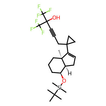 CC(C)(C)[Si](C)(C)O[C@H]1CCC[C@@]2(C)C(C3(CC#CC(O)(C(F)(F)F)C(F)(F)F)CC3)=CC[C@@H]12